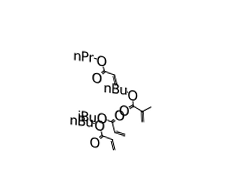 C=C(C)C(=O)OCCCC.C=CC(=O)OCC(C)C.C=CC(=O)OCCC.C=CC(=O)OCCCC